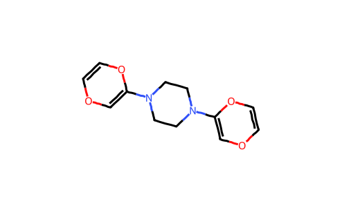 C1=COC(N2CCN(C3=COC=CO3)CC2)=CO1